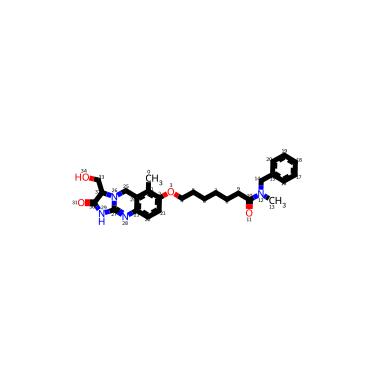 Cc1c(OCCCCCCC(=O)N(C)Cc2ccccc2)ccc2c1CN1C(=N2)NC(=O)C1CO